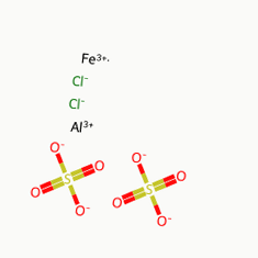 O=S(=O)([O-])[O-].O=S(=O)([O-])[O-].[Al+3].[Cl-].[Cl-].[Fe+3]